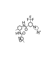 Cc1cc(C(=O)Nc2cc(NC(=O)c3cc(N4CCC([N+](C)(C)C)C4)cc(C(F)(F)F)c3)ccc2C)no1